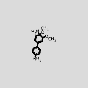 COC1C=C(c2ccc(N)cc2)C=CC1(N)OC